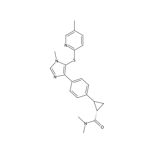 Cc1ccc(Sc2c(-c3ccc(C4C[C@@H]4C(=O)N(C)C)cc3)ncn2C)nc1